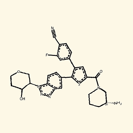 N#Cc1ccc(-c2cc(C(=O)N3CCC[C@@H](N)C3)sc2-c2ccc3c(c2)nnn3C2COCCC2O)cc1F